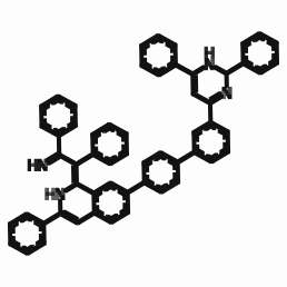 N=C(/C(=C1\NC(c2ccccc2)=Cc2ccc(-c3ccc(-c4cccc(C5=NC(c6ccccc6)NC(c6ccccc6)=C5)c4)cc3)cc21)c1ccccc1)c1ccccc1